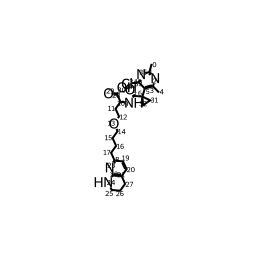 Cc1nc(C)c(C2(C(=O)NC(CCOCCCCc3ccc4c(n3)NCCC4)C(=O)O)CC2)c(Cl)n1